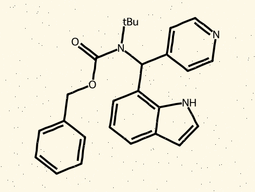 CC(C)(C)N(C(=O)OCc1ccccc1)C(c1ccncc1)c1cccc2cc[nH]c12